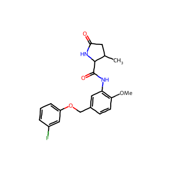 COc1ccc(COc2cccc(F)c2)cc1NC(=O)C1NC(=O)CC1C